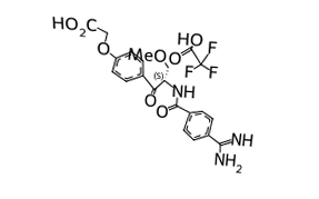 COC[C@H](NC(=O)c1ccc(C(=N)N)cc1)C(=O)c1ccc(OCC(=O)O)cc1.O=C(O)C(F)(F)F